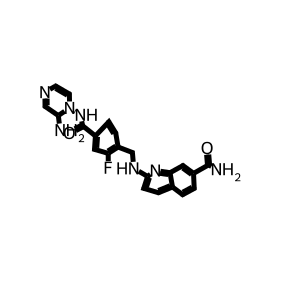 NC(=O)c1ccc2ccc(NCc3ccc(C(=O)NN4C=CN=CC4N)cc3F)nc2c1